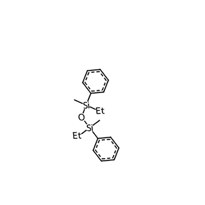 CC[Si](C)(O[Si](C)(CC)c1ccccc1)c1ccccc1